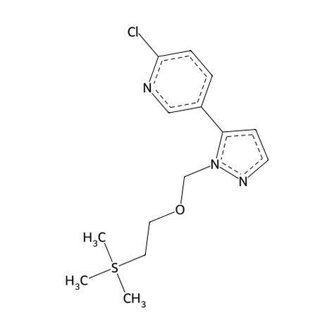 CS(C)(C)CCOCn1nccc1-c1ccc(Cl)nc1